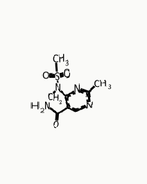 Cc1ncc(C(N)=O)c(N(C)S(C)(=O)=O)n1